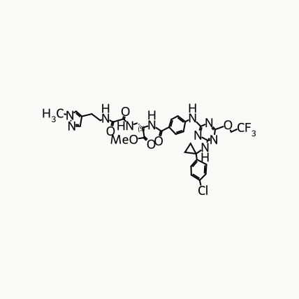 COC(=O)[C@H](CNC(=O)C(=O)NCCc1cnn(C)c1)NC(=O)c1ccc(Nc2nc(NC3(c4ccc(Cl)cc4)CC3)nc(OCC(F)(F)F)n2)cc1